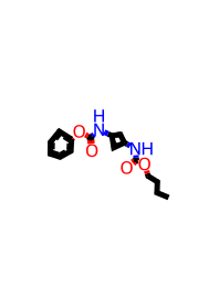 CCCCOC(=O)NC12CC(NC(=O)Oc3ccccc3)(C1)C2